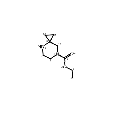 CCOC(=O)N1CCNC2(CC2)C1